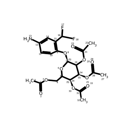 CC(=O)OCC1O[C@@H](Oc2ccc(N)cc2C(F)F)C(OC(C)=O)[C@@H](OC(C)=O)[C@H]1OC(C)=O